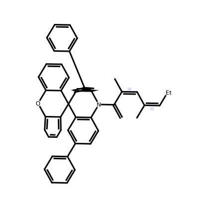 C=C(/C(C)=C\C(C)=C/CC)N1c2ccc(-c3ccccc3)cc2C2(c3ccccc3Oc3ccccc32)c2cc(-c3ccccc3)ccc21